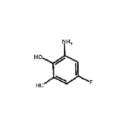 Nc1cc(F)cc(O)c1O